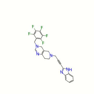 Fc1c(F)c(F)c(CN2C=NC3=C(C2)CN(CC#Cc2nc4ccccc4[nH]2)CC3)c(F)c1F